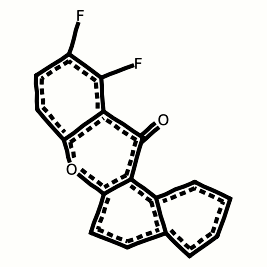 O=c1c2c(F)c(F)ccc2oc2ccc3ccccc3c12